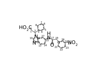 O=C(O)CC(c1ccccc1)n1cnc2ccc(NC(=O)Cc3cccc([N+](=O)[O-])c3)cc21